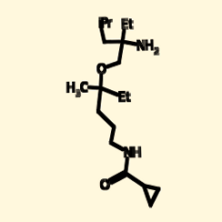 CCC(N)(COC(C)(CC)CCCNC(=O)C1CC1)CC(C)C